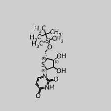 CC(C)(C)[Si](C)(C)OC[C@H]1S[C@@H](n2ccc(=O)[nH]c2=O)C(O)[C@H]1O